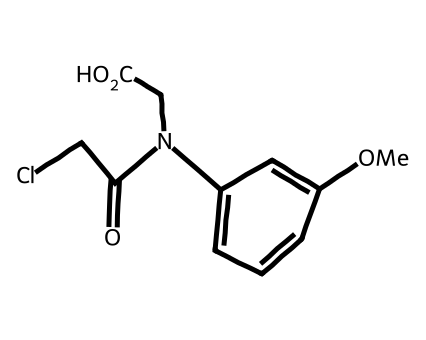 COc1cccc(N(CC(=O)O)C(=O)CCl)c1